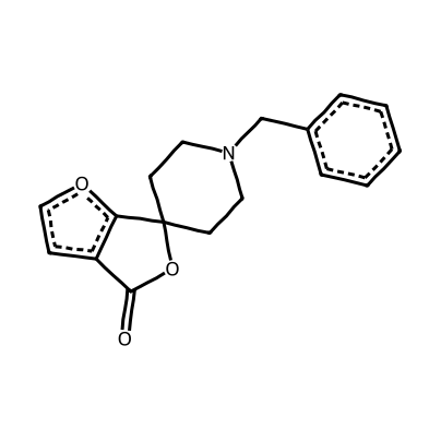 O=C1OC2(CCN(Cc3ccccc3)CC2)c2occc21